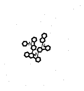 c1ccc(-n2c3ccccc3c3ccc(-c4c5ccccc5cc5c6ccccc6n(-c6ccc7c(c6)c6ccccc6n7-c6ccc7ccccc7c6)c45)cc32)cc1